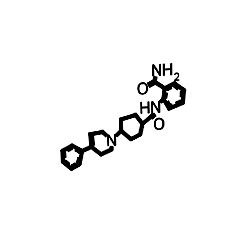 NC(=O)c1ccccc1NC(=O)C1CCC(N2CC=C(c3ccccc3)CC2)CC1